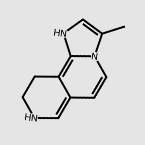 CC1=CNC2=C3CCNC=C3C=CN12